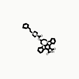 O=C1NC(=O)c2c1c1c3ccccc3n3c1c1c2c2ccccc2n1CC(OC(=O)N1CCN(CCc2ccccc2)CC1)CC3